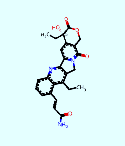 CCc1c2c(nc3cccc(C=CC(N)=O)c13)-c1cc3c(c(=O)n1C2)COC(=O)[C@]3(O)CC